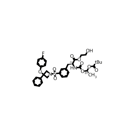 C[C@@H](OC(=O)N[C@@H](Cc1cccc(S(=O)(=O)N2CC(Oc3ccc(F)cc3)(c3ccccc3)C2)c1)C(=O)OCCO)OC(=O)C(C)(C)C